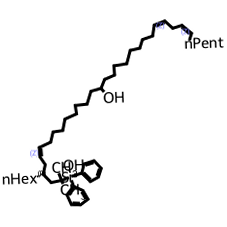 CCCCC/C=C\C/C=C\CCCCCCCCC(O)CCCCCCCC/C=C\C[C@@H](CCCCCC)CC(C)(C)[Si](O)(c1ccccc1)c1ccccc1